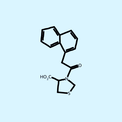 O=C(O)C1CSCN1C(=O)Cc1cccc2ccccc12